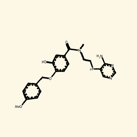 COc1ccc(COc2ccc(C(=O)N(C)CCNc3cncnc3N)cc2O)cc1